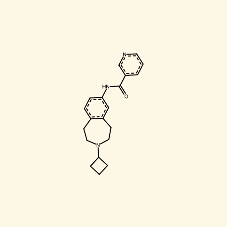 O=C(Nc1ccc2c(c1)CCN(C1CCC1)CC2)c1cccnc1